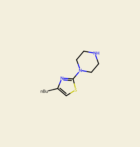 CCCCc1csc(N2CCNCC2)n1